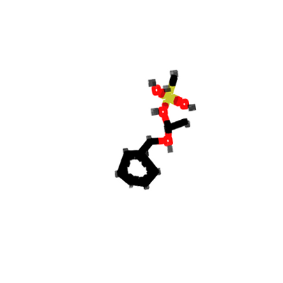 CC(OCc1ccccc1)OS(C)(=O)=O